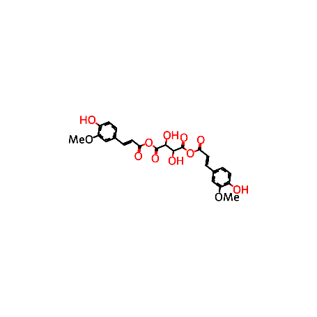 COc1cc(/C=C/C(=O)OC(=O)C(O)C(O)C(=O)OC(=O)/C=C/c2ccc(O)c(OC)c2)ccc1O